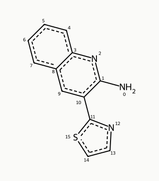 Nc1nc2ccccc2cc1-c1nccs1